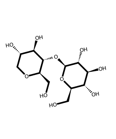 OC[C@H]1O[C@@H](O[C@H]2[C@H](O)[C@@H](O)CO[C@@H]2CO)[C@H](O)[C@@H](O)[C@@H]1O